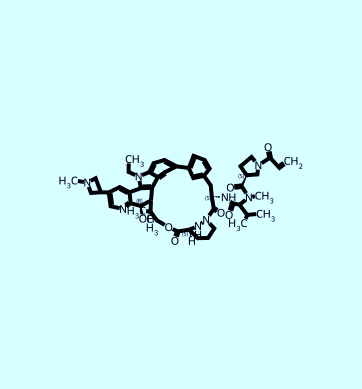 C=CC(=O)N1CC[C@H](C(=O)N(C)C(C(=O)N[C@H]2Cc3cccc(c3)-c3ccc4c(c3)c3c(n4CC)-c4cc(C5CN(C)C5)cnc4[C@H](O)C3C(C)(C)COC(=O)[C@@H]3CCCN(N3)C2=O)C(C)C)C1